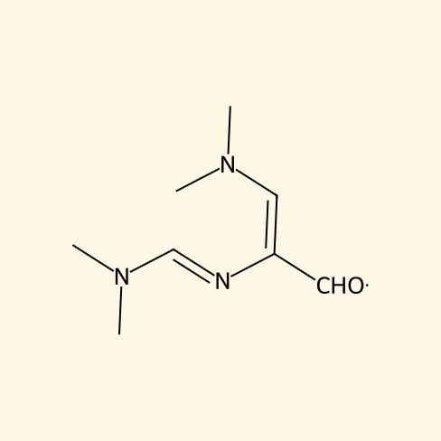 CN(C)C=NC([C]=O)=CN(C)C